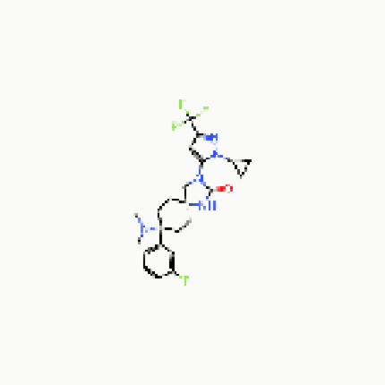 CN(C)[C@]1(c2cccc(F)c2)CC[C@]2(CC1)CN(c1cc(C(F)(F)F)nn1C1CC1)C(=O)N2